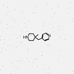 CC1(Cc2ccncc2)CCNCC1